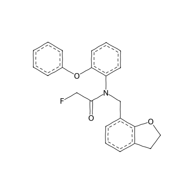 O=C(CF)N(Cc1cccc2c1OCC2)c1ccccc1Oc1ccccc1